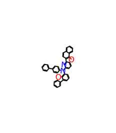 c1ccc(-c2ccc(N(c3ccc4oc5c6ccccc6ccc5c4n3)c3cccc4c3oc3ccccc34)cc2)cc1